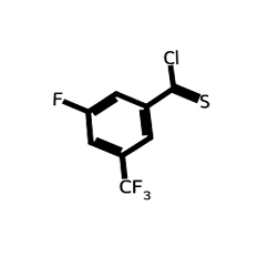 Fc1cc(C(=S)Cl)cc(C(F)(F)F)c1